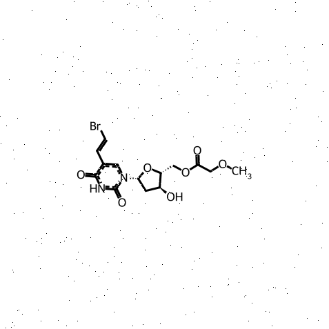 COCC(=O)OC[C@H]1O[C@@H](n2cc(/C=C/Br)c(=O)[nH]c2=O)C[C@@H]1O